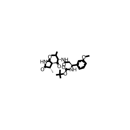 COc1cccc([C@H](CC(=O)N[C@H](C(=O)[C@@H]2C(=O)NC(=O)[C@H]2C)C(C)C)NC(=O)OC(C)(C)C)c1